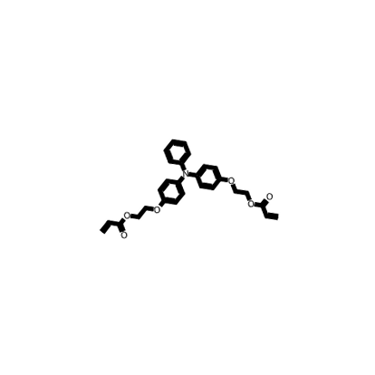 C=CC(=O)OCCOc1ccc(N(c2ccccc2)c2ccc(OCCOC(=O)C=C)cc2)cc1